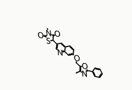 Cc1nc(-c2ccccc2)oc1COc1ccc2cc(C3SC(=O)N(C)C3=O)cnc2c1